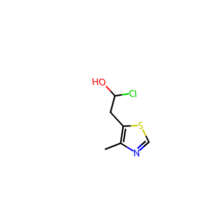 Cc1ncsc1CC(O)Cl